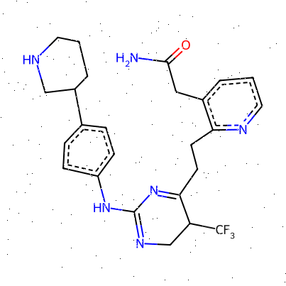 NC(=O)Cc1cccnc1CCC1=NC(Nc2ccc(C3CCCNC3)cc2)=NCC1C(F)(F)F